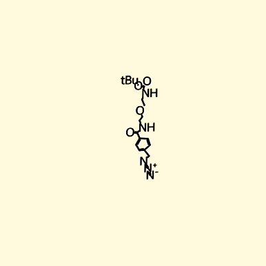 CC(C)(C)OC(=O)NCCOCCNC(=O)c1ccc(CN=[N+]=[N-])cc1